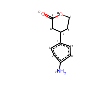 Nc1ccc(C2CCOC(=O)C2)cc1